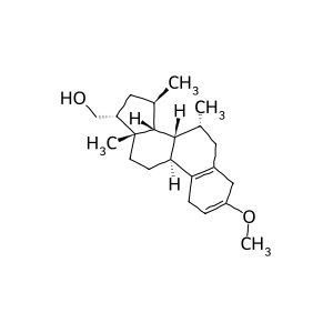 COC1=CCC2=C(C1)C[C@@H](C)[C@H]1[C@H]3[C@H](C)C[C@@H](CO)[C@@]3(C)CC[C@H]21